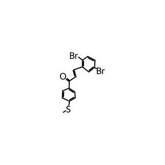 CSc1ccc(C(=O)C=Cc2cc(Br)ccc2Br)cc1